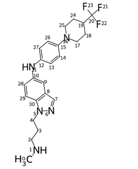 CNCCCn1ncc2cc(Nc3ccc(N4CCC(C(F)(F)F)CC4)cc3)ccc21